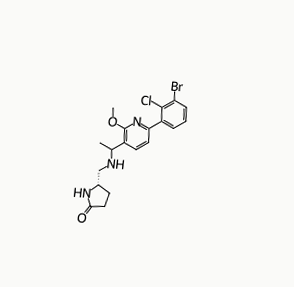 COc1nc(-c2cccc(Br)c2Cl)ccc1C(C)NC[C@@H]1CCC(=O)N1